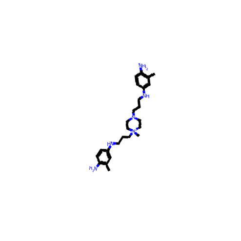 Cc1cc(NCCCN2CC[N+](C)(CCCNc3ccc(N)c(C)c3)CC2)ccc1N